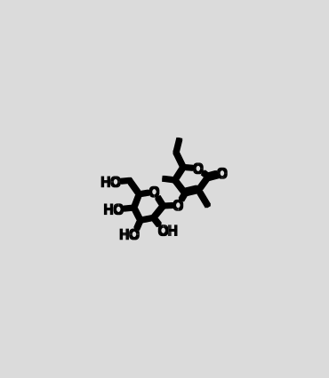 CCC1OC(=O)C(C)=C(OC2OC(CO)C(O)C(O)C2O)C1C